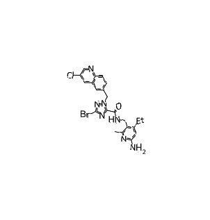 CCc1cc(N)nc(C)c1CNC(=O)c1nc(Br)nn1Cc1ccc2ncc(Cl)cc2c1